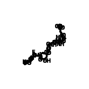 C/C(=C\c1cc(F)cc(N2CCN(C(=O)Cn3cccn3)CC2)c1)[C@H]1OC(=O)C[C@H](O)CC[C@H](C)[C@@H](OC(=O)N2CCN(C(=O)NCc3ccc(NC(=N)[C@H](C)NC(=O)[C@@H](NC(=O)CCCCCN4C(=O)C=CC4=O)C(C)C)cc3)CC2)/C=C/[C@@H]1C